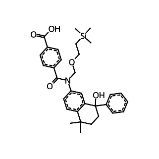 CC1(C)CCC(O)(c2ccccc2)c2cc(N(COCC[Si](C)(C)C)C(=O)c3ccc(C(=O)O)cc3)ccc21